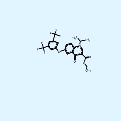 CCOC(=O)c1cn(C(C)C)c2ccc(Oc3cc(C(F)(F)F)cc(C(F)(F)F)c3)cc2c1=O